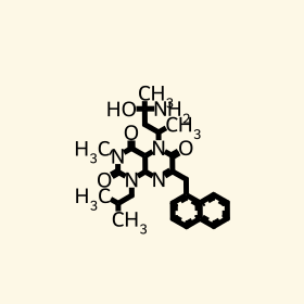 CC(C)CN1C(=O)N(C)C(=O)C2C1N=C(Cc1cccc3ccccc13)C(=O)N2C(C)CC(C)(N)O